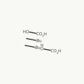 CCC(C)C.CCC(C)C.O=C(O)O.O=C(O)O